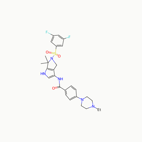 CCN1CCN(c2ccc(C(=O)Nc3c[nH]c4c3CN(S(=O)(=O)c3cc(F)cc(F)c3)C4(C)C)cc2)CC1